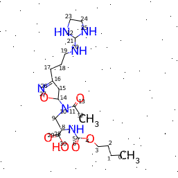 CCCCOC(=O)NC(CN(C(C)=O)C1CC(CCCNC2NCCN2)=NO1)C(=O)O